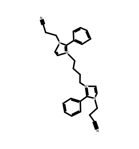 N#CCCn1cc[n+](CCCC[n+]2ccn(CCC#N)c2-c2ccccc2)c1-c1ccccc1